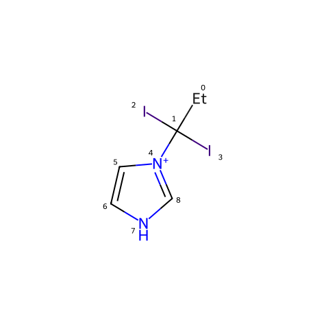 CCC(I)(I)[n+]1cc[nH]c1